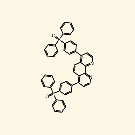 O=P(c1ccccc1)(c1ccccc1)c1ccc(-c2ccnc3c2ccc2c(-c4ccc(P(=O)(c5ccccc5)c5ccccc5)cc4)ccnc23)cc1